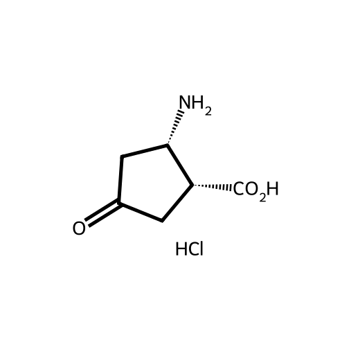 Cl.N[C@H]1CC(=O)C[C@H]1C(=O)O